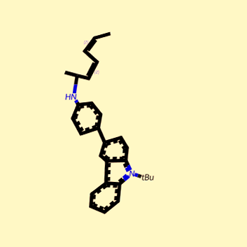 C/C=C\C=C/C(C)Nc1ccc(-c2ccc3c(c2)c2ccccc2n3C(C)(C)C)cc1